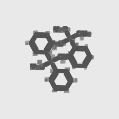 CO[Si](OC)(OC)c1ccccc1.CO[Si](OC)(c1ccccc1)c1ccccc1